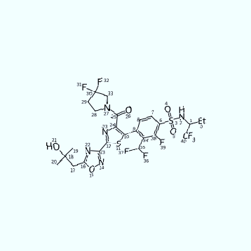 CCC(NS(=O)(=O)c1ccc(-c2sc(-c3noc(CC(C)(C)O)n3)nc2C(=O)N2CCC(F)(F)C2)c(C(F)F)c1F)C(F)(F)F